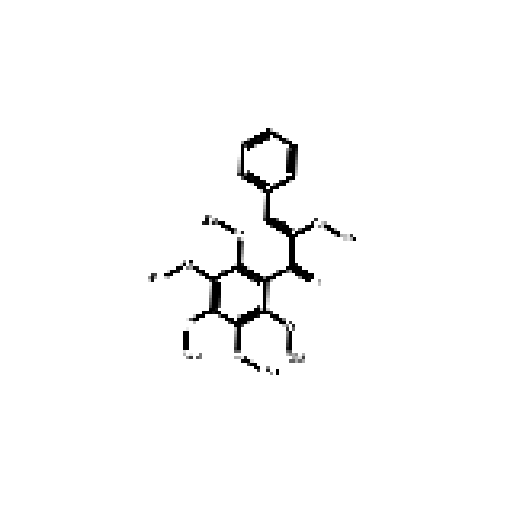 CC(C)(C)OC(=Cc1ccccc1)C(=O)c1c(OC(C)(C)C)c(OC(C)(C)C)c(OC(C)(C)C)c(OC(C)(C)C)c1OC(C)(C)C